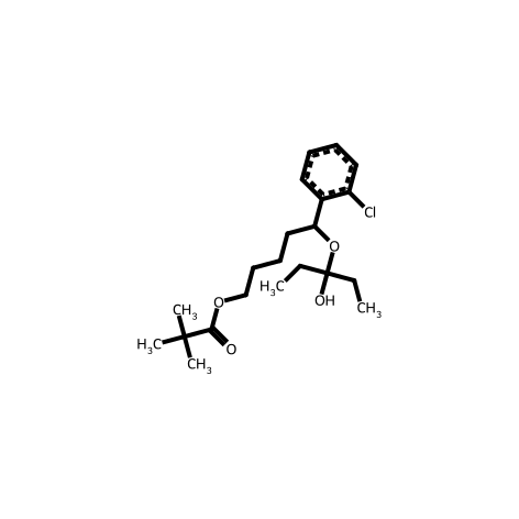 CCC(O)(CC)OC(CCCCOC(=O)C(C)(C)C)c1ccccc1Cl